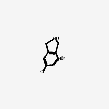 Br.Clc1ccc2c(c1)CNC2